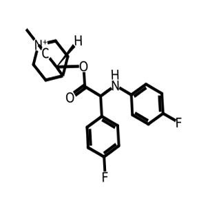 C[N+]12CCC(CC1)[C@@H](OC(=O)C(Nc1ccc(F)cc1)c1ccc(F)cc1)C2